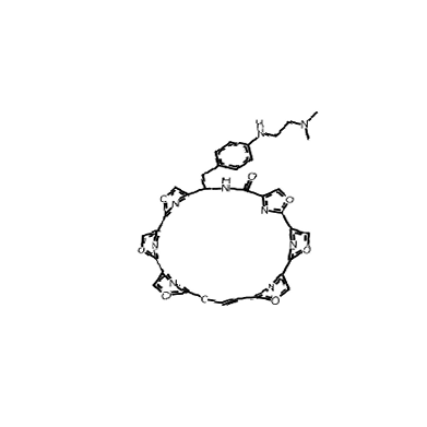 CN(C)CCNc1ccc(CC2NC(=O)c3coc(n3)-c3coc(n3)-c3coc(n3)/C=C/Cc3nc(co3)-c3nc(co3)-c3nc2co3)cc1